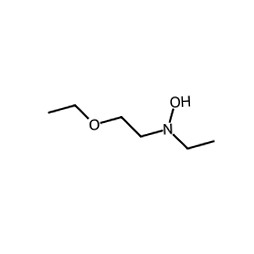 CCOCCN(O)CC